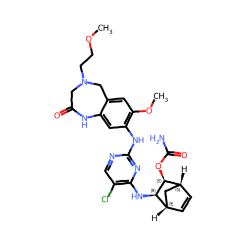 COCCN1CC(=O)Nc2cc(Nc3ncc(Cl)c(N[C@H]4[C@@H](OC(N)=O)[C@@H]5C=C[C@H]4C5)n3)c(OC)cc2C1